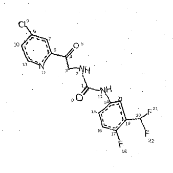 O=C(NCC(=O)c1cc(Cl)ccn1)Nc1ccc(F)c(C(F)F)c1